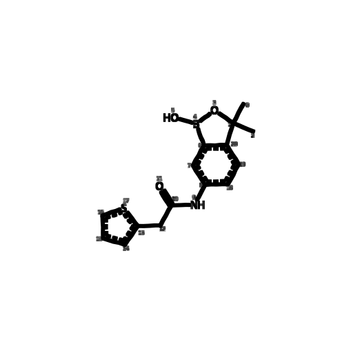 CC1(C)OB(O)c2cc(NC(=O)Cc3cccs3)ccc21